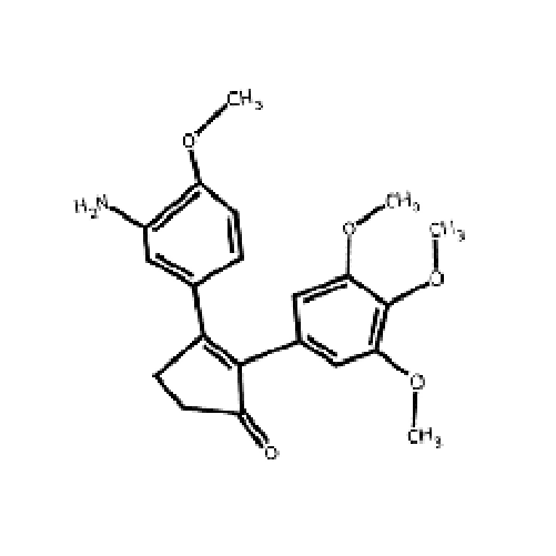 COc1ccc(C2=C(c3cc(OC)c(OC)c(OC)c3)C(=O)CC2)cc1N